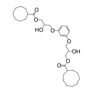 O=C(OCC(O)COc1cccc(OCC(O)COC(=O)C2CCCCCCC2)c1)C1CCCCCCCC1